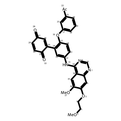 COCCOc1cc2ncnc(Nc3ccc(Oc4cccc(C(C)=O)c4)c(C4=CC(=O)C=CC4=O)c3)c2cc1OC